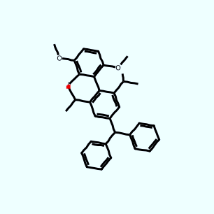 COc1ccc(OC)c(-c2c(C(C)C)cc(C(c3ccccc3)c3ccccc3)cc2C(C)C)c1I